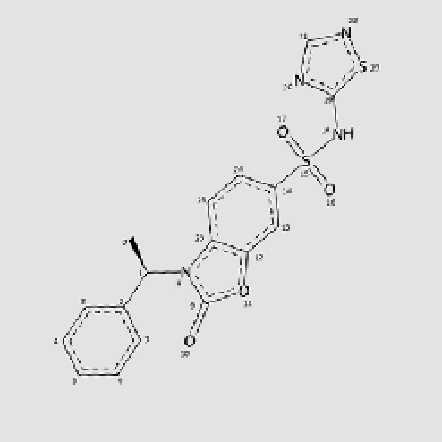 C[C@H](c1ccccc1)n1c(=O)oc2cc(S(=O)(=O)Nc3ncns3)ccc21